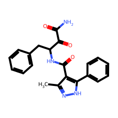 Cc1n[nH]c(-c2ccccc2)c1C(=O)NC(Cc1ccccc1)C(=O)C(N)=O